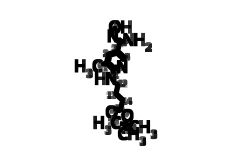 Cc1cc(C(N)=NO)cnc1NCCCC(=O)OC(C)(C)C